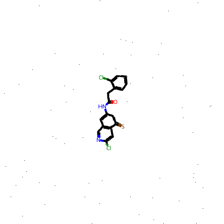 O=C(Cc1ccccc1Cl)NC1=Cc2cnc(Cl)cc2C(=S)C1